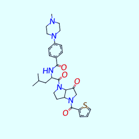 CC(C)CC(NC(=O)c1ccc(N2CCN(C)CC2)cc1)C(=O)N1CCC2C1C(=O)CN2C(=O)c1cccs1